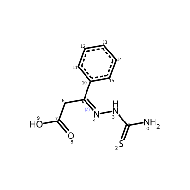 NC(=S)N/N=C(/CC(=O)O)c1ccccc1